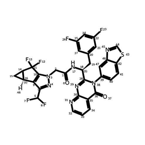 O=C(Cn1nc(C(F)F)c2c1C(F)(F)C1C[C@H]21)N[C@@H](Cc1cc(F)cc(F)c1)c1nc2ncccc2c(=O)n1-c1ccc2scnc2c1